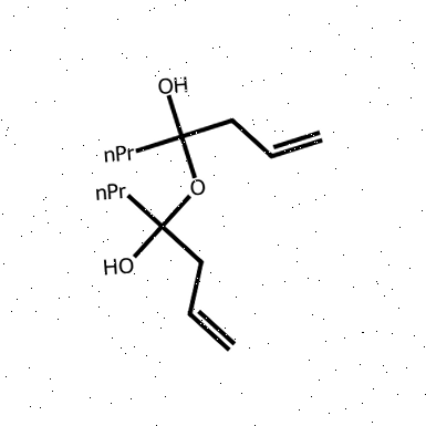 C=CCC(O)(CCC)OC(O)(CC=C)CCC